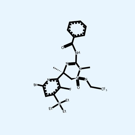 CC[Si](CC)(CC)c1cc(Br)nc([C@]2(C)C[S@](=O)(=NCC(F)(F)F)N(C)C(NC(=O)c3ccccc3)=N2)c1F